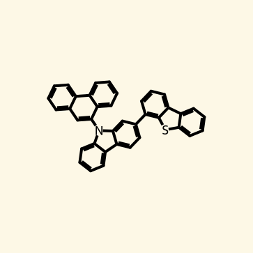 c1ccc2c(c1)cc(-n1c3ccccc3c3ccc(-c4cccc5c4sc4ccccc45)cc31)c1ccccc12